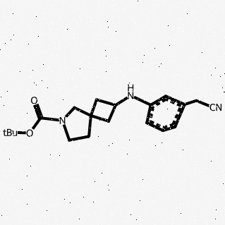 CC(C)(C)OC(=O)N1CCC2(CC(Nc3cccc(CC#N)c3)C2)C1